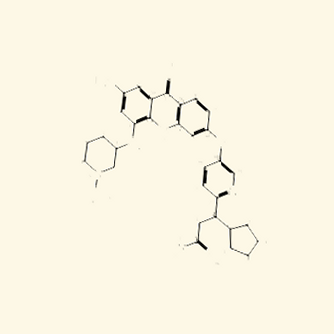 Cc1cc(OC2CCCN(C)C2)c2oc3cc(Oc4ccc(C(CC(N)=O)C5CCCC5)nc4)ccc3c(=O)c2c1